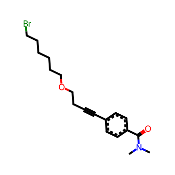 CN(C)C(=O)c1ccc(C#CCCOCCCCCCBr)cc1